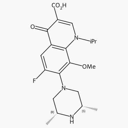 COc1c(N2C[C@@H](C)N[C@@H](C)C2)c(F)cc2c(=O)c(C(=O)O)cn(C(C)C)c12